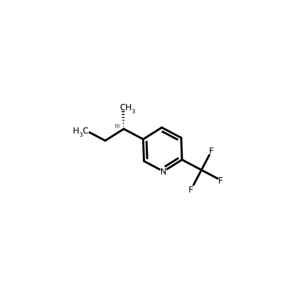 CC[C@H](C)c1ccc(C(F)(F)F)nc1